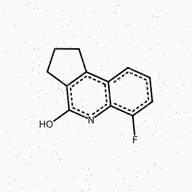 Oc1nc2c(F)cccc2c2c1CCC2